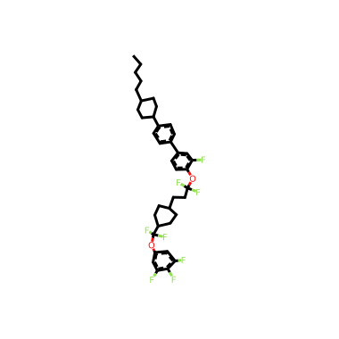 CCCCCC1CCC(c2ccc(-c3ccc(OC(F)(F)CCC4CCC(C(F)(F)Oc5cc(F)c(F)c(F)c5)CC4)c(F)c3)cc2)CC1